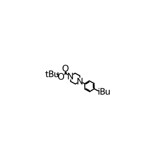 CCC(C)c1ccc(N2CCN(C(=O)OC(C)(C)C)CC2)cc1